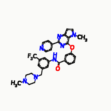 CN1CCN(Cc2cc(NC(=O)c3cccc(Oc4nc(-c5ccncc5)nc5ccn(C)c45)c3)cc(C(F)(F)F)c2)CC1